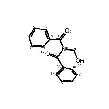 O=C(c1ccccc1)N(CO)C(=O)c1ccccc1